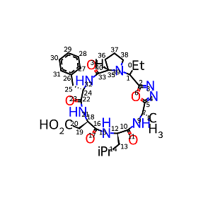 CCC1c2nnc(o2)[C@H](C)NC(=O)[C@@H](CC(C)C)NC(=O)[C@@H](CC(=O)O)NC(=O)[C@H](Cc2ccccc2)NC(=O)[C@@H]2CCCN12